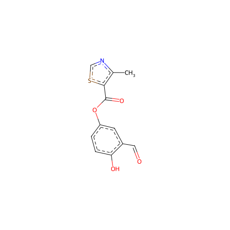 Cc1ncsc1C(=O)Oc1ccc(O)c(C=O)c1